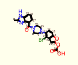 Cc1nc2c(C(=O)N3CCN(c4ccc5oc(OC(=O)O)cc5c4Br)CC3)cccc2[nH]1